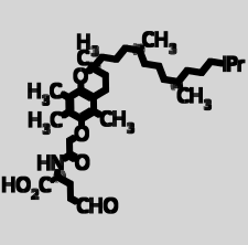 Cc1c(C)c2c(c(C)c1OCC(=O)N[C@@H](CCC=O)C(=O)O)CC[C@@](C)(CCC[C@H](C)CCC[C@H](C)CCCC(C)C)O2